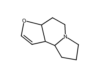 C1=CC2C(CCN3CCCC23)O1